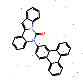 O=c1n(-c2ccc3c4ccccc4c4ccccc4c3c2)c2ccccc2c2cc3ccccc3n12